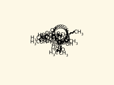 CCCCC[C@H]1CCCCCCCCCC(=O)O[C@@H]2[C@@H](O[C@@H]3O[C@H](C)[C@@H](OC(=O)C(C)C(C)O)[C@H](O)[C@H]3O)[C@H](C)O[C@@H](O[C@H]3[C@H](O[C@H]4[C@H](O1)O[C@H](C)[C@@H](O)[C@@H]4O)O[C@H](COC(=O)C(C)C(C)O)[C@@H](O)[C@@H]3O)[C@@H]2OC(=O)C(C)C